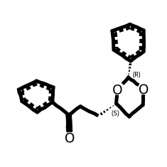 O=C(CC[C@H]1CCO[C@@H](c2ccccc2)O1)c1ccccc1